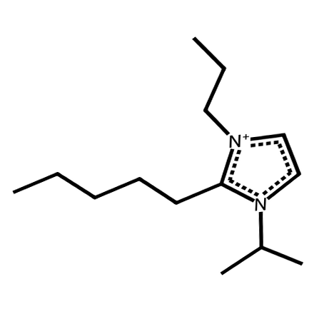 CCCCCc1n(C(C)C)cc[n+]1CCC